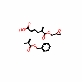 C=C(C)C(=O)OCc1ccccc1.C=C(CC=CC(=O)O)C(=O)OCC1CO1